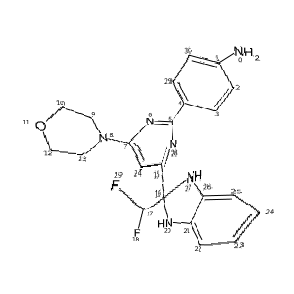 Nc1ccc(-c2nc(N3CCOCC3)cc(C3(C(F)F)Nc4ccccc4N3)n2)cc1